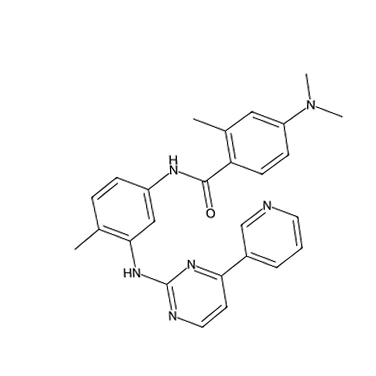 Cc1ccc(NC(=O)c2ccc(N(C)C)cc2C)cc1Nc1nccc(-c2cccnc2)n1